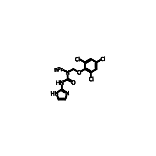 CCCN(COc1c(Cl)cc(Cl)cc1Cl)C(=O)Nc1ncc[nH]1